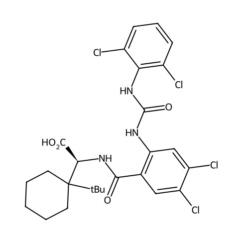 CC(C)(C)C1([C@H](NC(=O)c2cc(Cl)c(Cl)cc2NC(=O)Nc2c(Cl)cccc2Cl)C(=O)O)CCCCC1